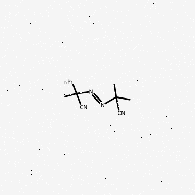 CCCC(C)(C#N)N=NC(C)(C)C#N